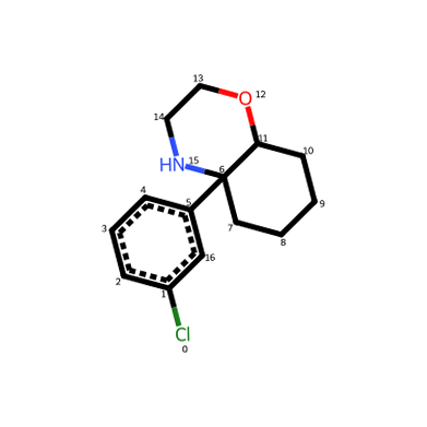 Clc1cccc(C23CCCCC2OCCN3)c1